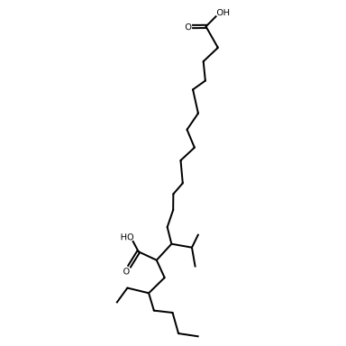 CCCCC(CC)CC(C(=O)O)C(CCCCCCCCCCCCC(=O)O)C(C)C